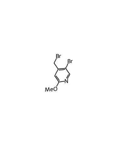 COc1cc(CBr)c(Br)cn1